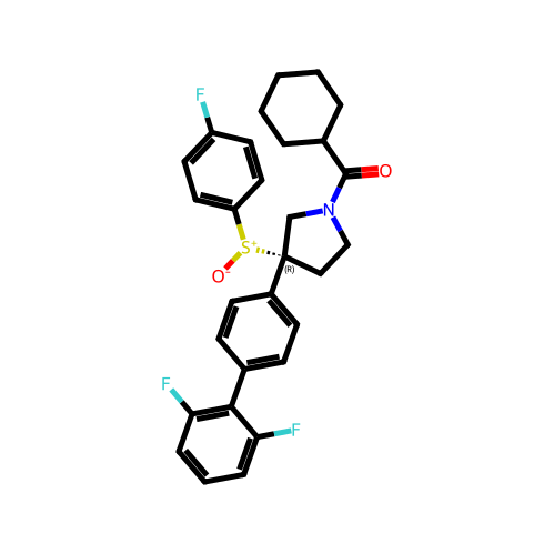 O=C(C1CCCCC1)N1CC[C@](c2ccc(-c3c(F)cccc3F)cc2)([S+]([O-])c2ccc(F)cc2)C1